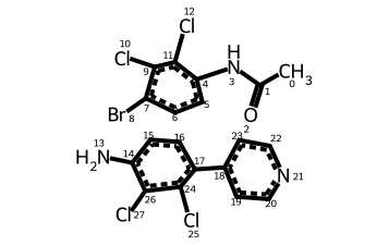 CC(=O)Nc1ccc(Br)c(Cl)c1Cl.Nc1ccc(-c2ccncc2)c(Cl)c1Cl